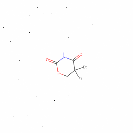 CCC1(CC)COC(=O)NC1=O